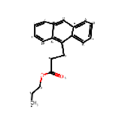 CCCOC(=O)CCc1c2ccccc2cc2ccccc12